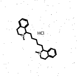 CN1CCc2ccccc2C1CCCCCC1c2ccccc2CCN1C.Cl